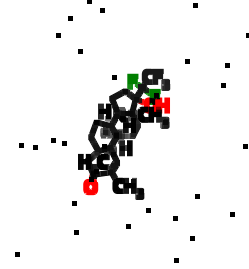 CC1=C[C@@]2(C)C(CC[C@@H]3[C@H]2CC[C@@]2(C)[C@H]3CCC2(O)C(F)(F)C(F)(F)F)CC1=O